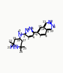 CN(c1ccc(-c2ccc3cnncc3c2)nn1)C1CC(C)(C)NC(C)(C)C1